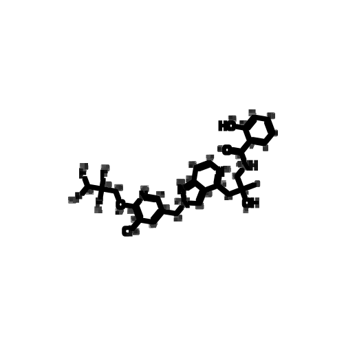 CC(O)(CNC(=O)c1ccccc1O)Cc1nccc2nn(Cc3cnc(OCC(F)(F)C(F)F)c(Cl)c3)cc12